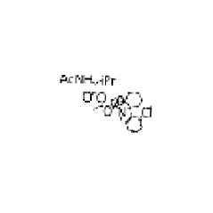 CC(=O)N[C@H](C(=O)OC(C)OC(=O)N(C)[C@@]1(c2ccccc2Cl)CCCCC1=O)C(C)C